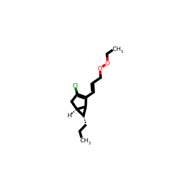 CCC[C@H]1C2C(/C=C/COOCC)=C(Cl)C[C@@H]21